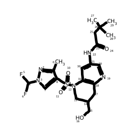 Cc1nn(C(F)F)cc1S(=O)(=O)N1CC(CO)Cc2ncc(NC(=O)CC(C)(C)C)cc21